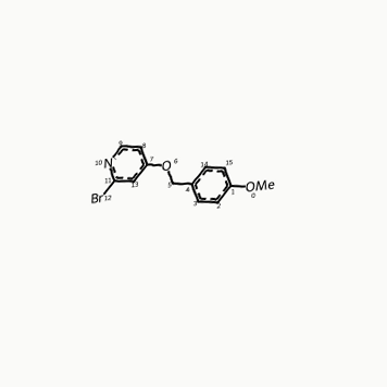 COc1ccc(COc2ccnc(Br)c2)cc1